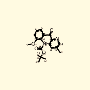 COc1cccc(C(=O)c2ccc(C)cn2)c1NC(=O)OC(C)(C)C